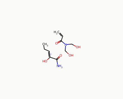 C=CC(=O)N(CO)CO.CC/C=C(\O)C(N)=O